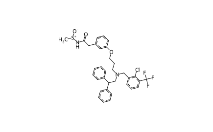 C[S+]([O-])NC(=O)Cc1cccc(OCCCN(Cc2cccc(C(F)(F)F)c2Cl)CC(c2ccccc2)c2ccccc2)c1